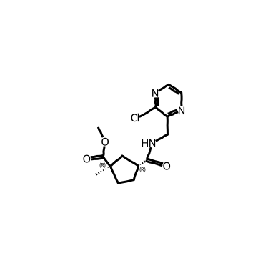 COC(=O)[C@]1(C)CC[C@@H](C(=O)NCc2nccnc2Cl)C1